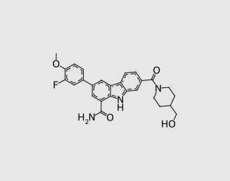 COc1ccc(-c2cc(C(N)=O)c3[nH]c4cc(C(=O)N5CCC(CO)CC5)ccc4c3c2)cc1F